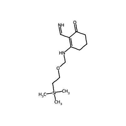 C[Si](C)(C)CCOCNC1=C(C=N)C(=O)CCC1